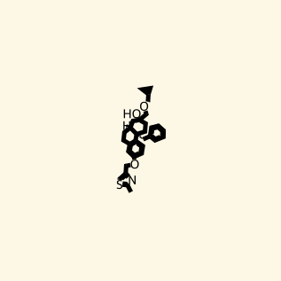 Cc1nc(COc2ccc3c(c2)CC[C@@H]2C[C@@](O)(COCC4CC4)CC[C@@]32Cc2ccccc2)cs1